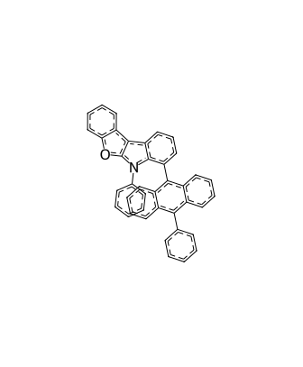 c1ccc(-c2c3ccccc3c(-c3cccc4c5c6ccccc6oc5n(-c5ccccc5)c34)c3ccccc23)cc1